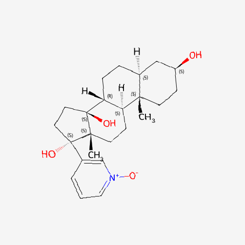 C[C@]12CC[C@H](O)C[C@@H]1CC[C@@H]1[C@@H]2CC[C@]2(C)[C@@](O)(c3ccc[n+]([O-])c3)CC[C@]12O